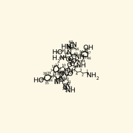 NCCCC[C@@H](NC(=O)[C@H](Cc1ccccc1)NC(=O)[C@H](Cc1c[nH]cn1)NC(=O)[C@@H](N)Cc1ccc(O)cc1)C(=O)N[C@@H](Cc1ccc(O)cc1)C(=O)N[C@@H](Cc1c[nH]cn1)C(=O)N[C@@H](CO)C(N)=O